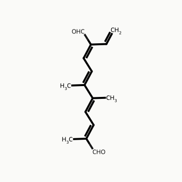 C=C\C(C=O)=C/C=C(C)/C(C)=C/C=C(\C)C=O